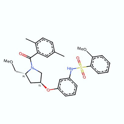 COC[C@H]1C[C@H](Oc2cccc(NS(=O)(=O)c3ccccc3OC)c2)CN1C(=O)c1cc(C)ccc1C